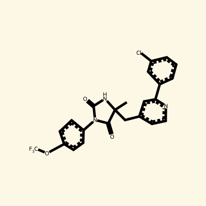 CC1(Cc2ccnc(-c3cccc(Cl)c3)c2)NC(=O)N(c2ccc(OC(F)(F)F)cc2)C1=O